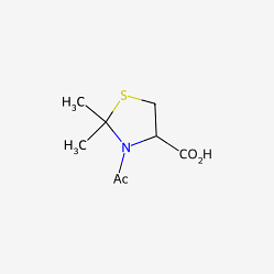 CC(=O)N1C(C(=O)O)CSC1(C)C